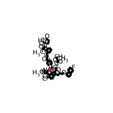 Cc1nn(C)c(C)c1-c1c(Cl)ccc2c(CCCOc3cccc4cc(F)ccc34)c(C(=O)OCOC(=O)C(C)(C)C)n(CCN3CCN(C(=O)COc4cccc5c4n(C)c(=O)n5C4CCC(=O)NC4=O)CC3)c12